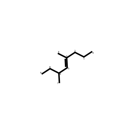 CCCC(C)=CC(C)CC